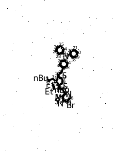 CCCCC(CC)CC1(CC(CC)CCCC)c2cc(-c3ccc(N(c4ccccc4)c4ccccc4)cc3)sc2-c2sc(-c3ncc(Br)c4nsnc34)cc21